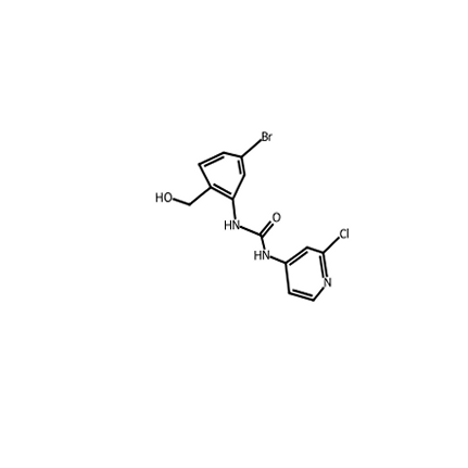 O=C(Nc1ccnc(Cl)c1)Nc1cc(Br)ccc1CO